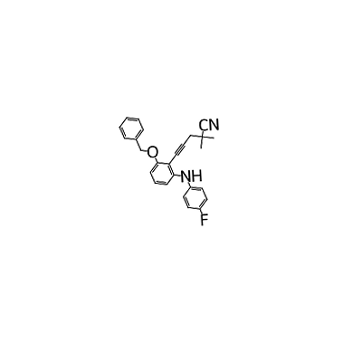 CC(C)(C#N)CC#Cc1c(Nc2ccc(F)cc2)cccc1OCc1ccccc1